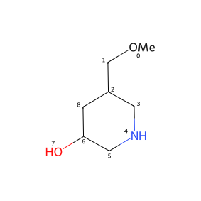 COCC1CNCC(O)C1